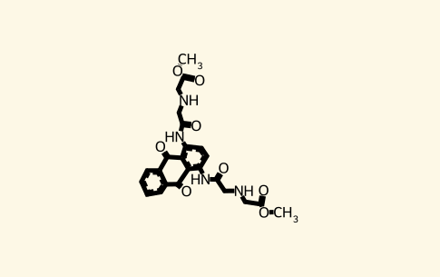 COC(=O)CNCC(=O)Nc1ccc(NC(=O)CNCC(=O)OC)c2c1C(=O)c1ccccc1C2=O